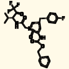 CC(C)C(NC(=O)Cn1cc(Cc2ccc(F)cc2)cc(NC(=O)OCc2ccccc2)c1=O)C(=O)C(F)(F)F